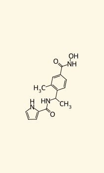 Cc1cc(C(=O)NO)ccc1C(C)NC(=O)c1ccc[nH]1